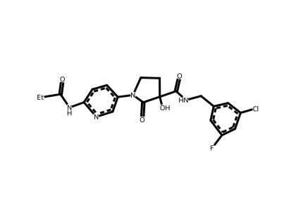 CCC(=O)Nc1ccc(N2CCC(O)(C(=O)NCc3cc(F)cc(Cl)c3)C2=O)cn1